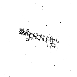 CC(C)(C)OC(=O)N1CCC(C2CCN(c3ccc(NC(=O)c4cscn4)c(Cl)c3)CC2)CC1